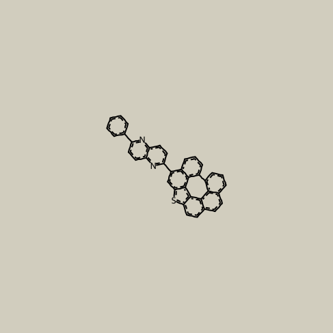 c1ccc(-c2ccc3nc(-c4cc5sc6ccc7ccc8cccc9c8c7c6c5c5c-9cccc45)ccc3n2)cc1